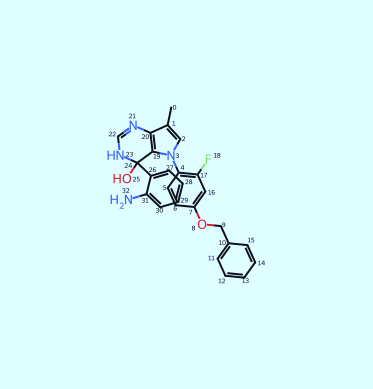 Cc1cn(-c2ccc(OCc3ccccc3)cc2F)c2c1N=CNC2(O)c1ccccc1N